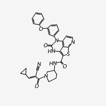 N#C/C(=C\C1CC1)C(=O)N1CCCC(NC(=O)c2sc3nccc4c3c2NC(=O)N4c2cccc(Oc3ccccc3)c2)C1